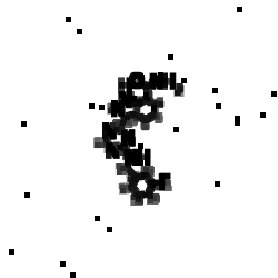 NC(=O)c1cccc2c(-c3ncnc(NCc4cccc(F)c4)n3)n[nH]c12